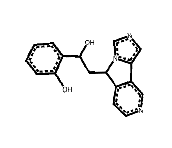 Oc1ccccc1C(O)CC1c2ccncc2-c2cncn21